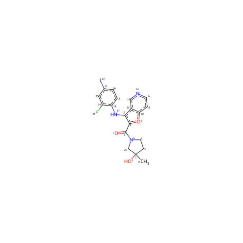 CC1(O)CCN(C(=O)c2oc3ccncc3c2Nc2ccc(I)cc2F)C1